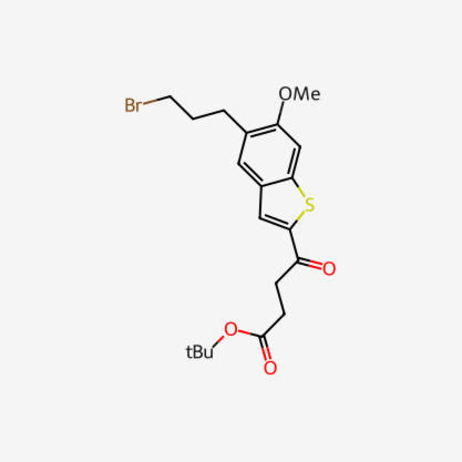 COc1cc2sc(C(=O)CCC(=O)OC(C)(C)C)cc2cc1CCCBr